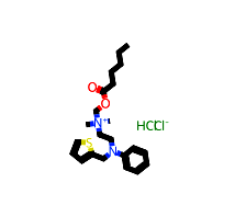 CCCCCC(=O)OC[N+](C)(C)CCN(Cc1cccs1)c1ccccc1.Cl.[Cl-]